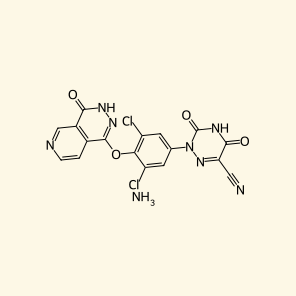 N.N#Cc1nn(-c2cc(Cl)c(Oc3n[nH]c(=O)c4cnccc34)c(Cl)c2)c(=O)[nH]c1=O